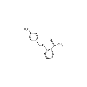 CC(=O)c1ncccc1OCc1ccc(C)cc1